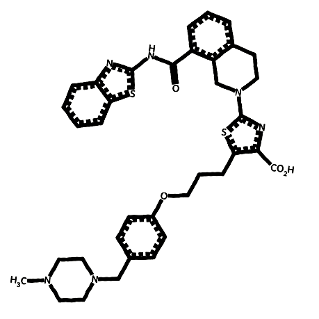 CN1CCN(Cc2ccc(OCCCc3sc(N4CCc5cccc(C(=O)Nc6nc7ccccc7s6)c5C4)nc3C(=O)O)cc2)CC1